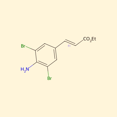 CCOC(=O)/C=C/c1cc(Br)c(N)c(Br)c1